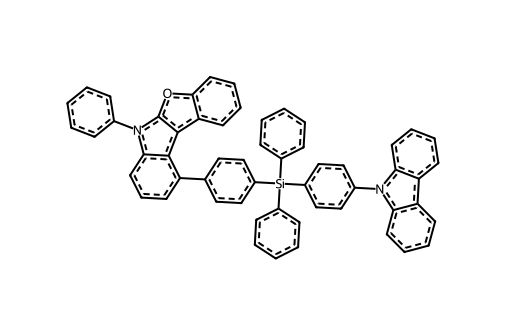 c1ccc(-n2c3cccc(-c4ccc([Si](c5ccccc5)(c5ccccc5)c5ccc(-n6c7ccccc7c7ccccc76)cc5)cc4)c3c3c4ccccc4oc32)cc1